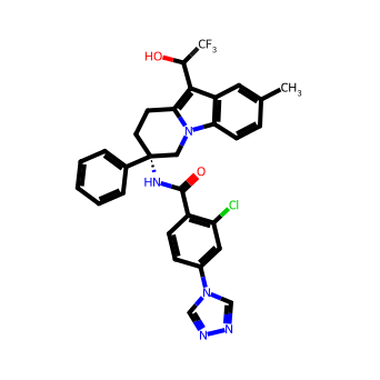 Cc1ccc2c(c1)c(C(O)C(F)(F)F)c1n2C[C@@](NC(=O)c2ccc(-n3cnnc3)cc2Cl)(c2ccccc2)CC1